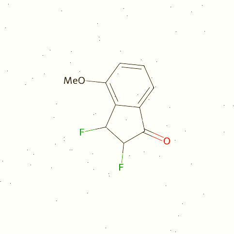 COc1cccc2c1C(F)C(F)C2=O